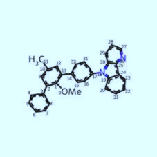 COc1c(-c2ccccc2)cc(C)cc1-c1ccc(-n2c3ccccc3c3ncccc32)cc1